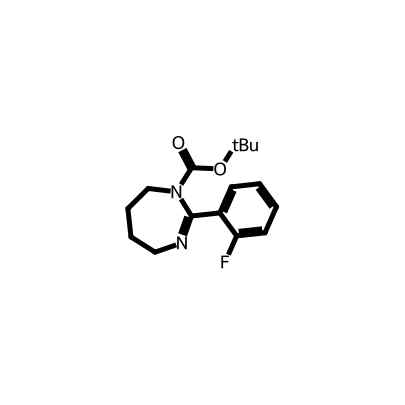 CC(C)(C)OC(=O)N1CCCCN=C1c1ccccc1F